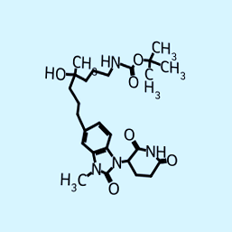 Cn1c(=O)n(C2CCC(=O)NC2=O)c2ccc(CCCC(C)(O)CCCNC(=O)OC(C)(C)C)cc21